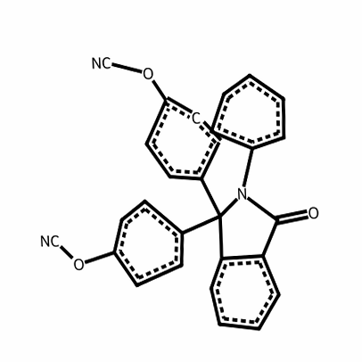 N#COc1ccc(C2(c3ccc(OC#N)cc3)c3ccccc3C(=O)N2c2ccccc2)cc1